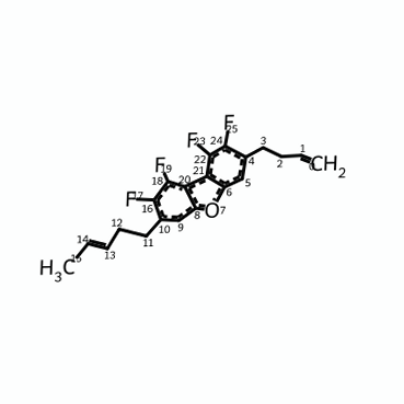 C=CCCc1cc2oc3cc(CC/C=C/C)c(F)c(F)c3c2c(F)c1F